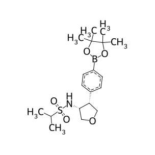 CC(C)S(=O)(=O)N[C@H]1COC[C@H]1c1ccc(B2OC(C)(C)C(C)(C)O2)cc1